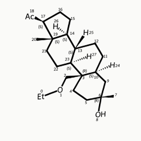 CCOC[C@]12CC[C@@](C)(O)C[C@@H]1CC[C@H]1[C@@H]3CC[C@H](C(C)=O)[C@@]3(C)CC[C@@H]12